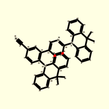 CC1(C)c2ccccc2N(c2ccc(-c3cc(C#N)ccc3N3c4ccccc4C(C)(C)c4ccccc43)cn2)c2ccccc21